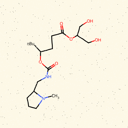 CCCCC(CCC(=O)OC(CO)CO)OC(=O)NCC1CCCN1C